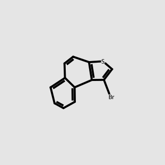 Brc1csc2ccc3ccccc3c12